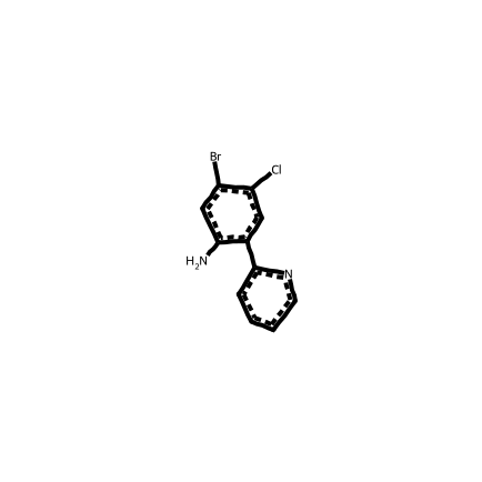 Nc1cc(Br)c(Cl)cc1-c1ccccn1